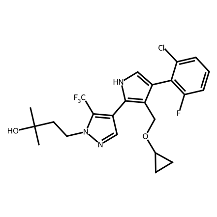 CC(C)(O)CCn1ncc(-c2[nH]cc(-c3c(F)cccc3Cl)c2COC2CC2)c1C(F)(F)F